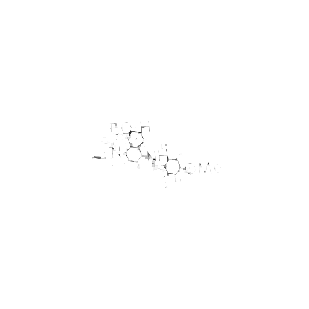 C#CCN(c1ccc(NSc2c(C)cc(OC)cc2C)c2ccccc12)[C@@H](C)CC(=O)O